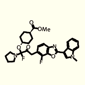 COC(=O)[C@H]1CC[C@H](OC(F)(C(=O)Cc2ccc3nc(-c4cn(C)c5ccccc45)oc3c2F)N2CCCC2)CC1